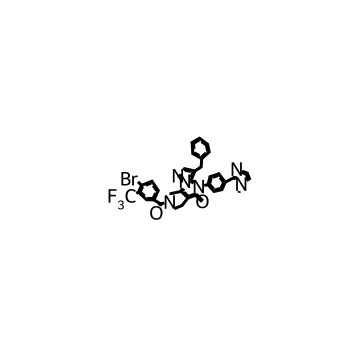 Cn1ccnc1-c1ccc(-n2c(=O)c3c(n4ncc(Cc5ccccc5)c24)CN(C(=O)c2ccc(Br)c(C(F)(F)F)c2)CC3)cc1